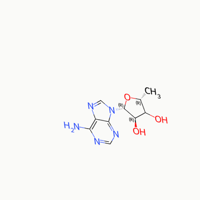 C[C@H]1O[C@@H](n2cnc3c(N)ncnc32)[C@H](O)C1O